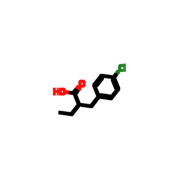 CCC(Cc1ccc(Cl)cc1)C(=O)O